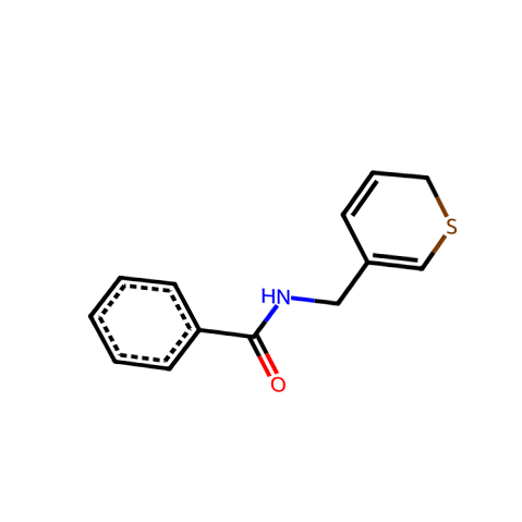 O=C(NCC1=CSCC=C1)c1ccccc1